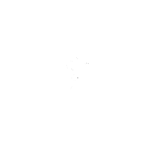 COC[C@@H](C(=O)N1CCOCC1)N(C(=O)C1CCCCC1)c1cc(C#CC(C)(C)C)sc1C(=O)O